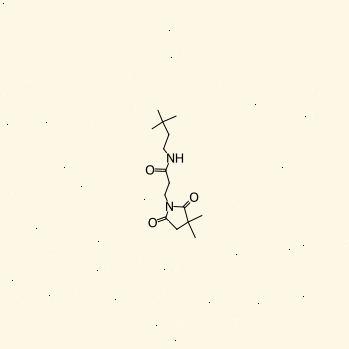 CC(C)(C)CCNC(=O)CCN1C(=O)CC(C)(C)C1=O